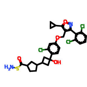 NSC(=O)C1CCC(C2CC(O)(c3ccc(OCc4c(-c5c(Cl)cccc5Cl)noc4C4CC4)cc3Cl)C2)C1